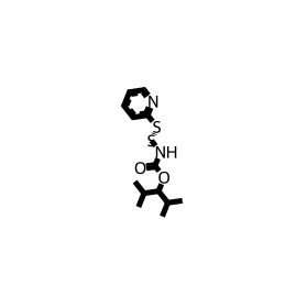 CC(C)C(OC(=O)NSSc1ccccn1)C(C)C